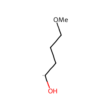 COCCC[CH]O